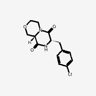 O=C1N[C@@H](Cc2ccc(Cl)cc2)C(=O)N2CCOC[C@@H]12